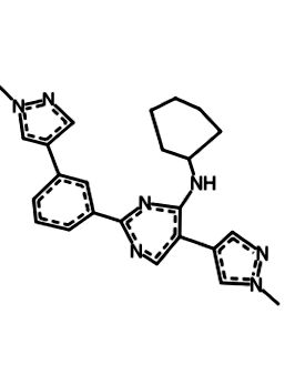 Cn1cc(-c2cccc(-c3ncc(-c4cnn(C)c4)c(NC4CCCCC4)n3)c2)cn1